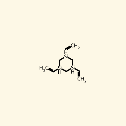 C=C[SiH]1C[SiH](C=C)C[SiH](C=C)C1